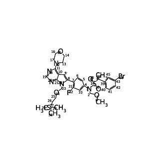 COCN(c1ccc(-c2cc3c(N4CCOCC4)ncnc3n2COCC[Si](C)(C)C)c(F)c1)S(=O)(=O)C(C)c1cccc(Br)c1